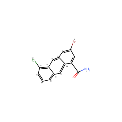 NC(=O)c1cc(Br)cc2cc3c(Cl)cccc3cc12